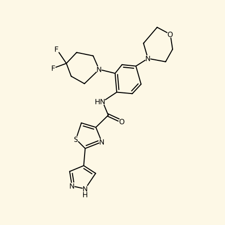 O=C(Nc1ccc(N2CCOCC2)cc1N1CCC(F)(F)CC1)c1csc(-c2cn[nH]c2)n1